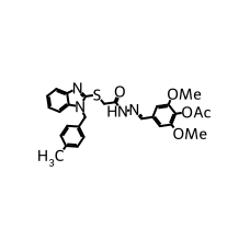 COc1cc(/C=N/NC(=O)CSc2nc3ccccc3n2Cc2ccc(C)cc2)cc(OC)c1OC(C)=O